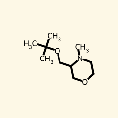 CN1CCOCC1COC(C)(C)C